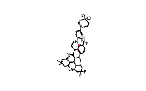 CC1(C)Cc2nc(C3CCN(c4ncc(N5CCS(=O)(=O)CC5)cn4)CC3)c(C(F)c3ccc(C(F)(F)F)cc3)c(C3CCC(F)(F)CC3)c2C(O)C1